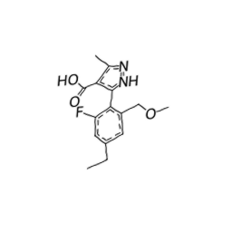 CCc1cc(F)c(-c2[nH]nc(C)c2C(=O)O)c(COC)c1